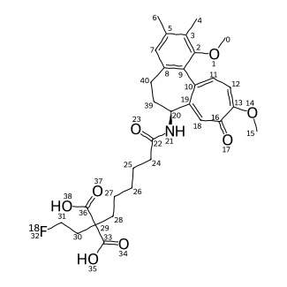 COc1c(C)c(C)cc2c1-c1ccc(OC)c(=O)cc1[C@@H](NC(=O)CCCCCC(CC[18F])(C(=O)O)C(=O)O)CC2